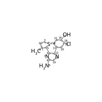 Cc1ccsc1-c1nc(N)cnc1-c1ccc(O)c(Cl)c1